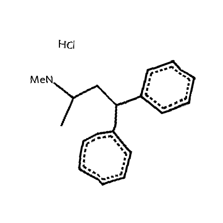 CNC(C)CC(c1ccccc1)c1ccccc1.Cl